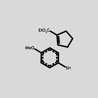 CCOC(=O)C1=CCCC1.COc1ccc(S)cc1